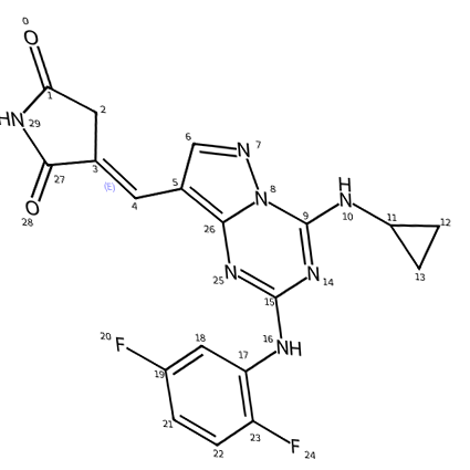 O=C1C/C(=C\c2cnn3c(NC4CC4)nc(Nc4cc(F)ccc4F)nc23)C(=O)N1